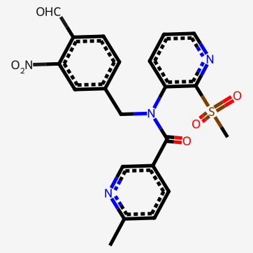 Cc1ccc(C(=O)N(Cc2ccc(C=O)c([N+](=O)[O-])c2)c2cccnc2S(C)(=O)=O)cn1